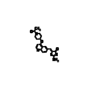 CC(=O)N1CCC(Oc2ccnc3ccc(/C=C4\SC(N)=NC4=O)cc23)CC1